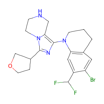 FC(F)c1cc2c(cc1Br)CCCN2c1nc(C2CCOC2)n2c1CNCC2